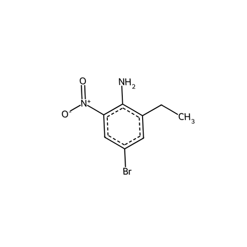 CCc1cc(Br)cc([N+](=O)[O-])c1N